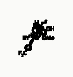 C=CCN1CC[C@]23c4c5c(O)cc(OC)c4O[C@H]2[C@@H](N(CC(C)C)C(=O)C#Cc2ccc(C(F)(F)F)cc2)CC[C@H]3[C@H]1C5